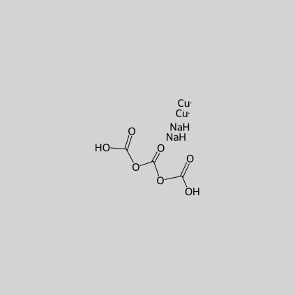 O=C(O)OC(=O)OC(=O)O.[Cu].[Cu].[NaH].[NaH]